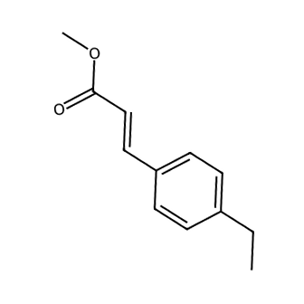 CCc1ccc(/C=C/C(=O)OC)cc1